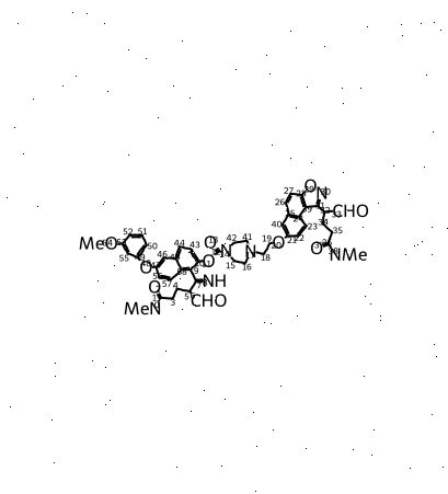 CNC(=O)CCC(C=O)C(=N)c1c(OC(=O)N2CCN(CCOc3ccc4c(ccc5onc(C(C=O)CCC(=O)NC)c54)c3)CC2)ccc2cc(Oc3cccc(OC)c3)ccc12